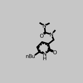 CCCCc1ccc(CN(C)C(=O)N(C)C)c(=O)[nH]1